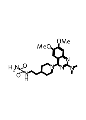 COc1cc2nc(N(C)C)nc(N3CCC(CCNS(N)(=O)=O)CC3)c2cc1OC